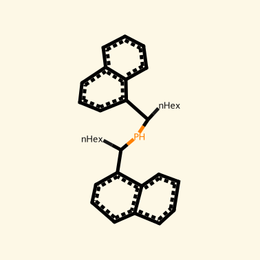 CCCCCCC(PC(CCCCCC)c1cccc2ccccc12)c1cccc2ccccc12